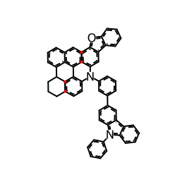 c1ccc(-n2c3ccccc3c3cc(-c4cccc(N(c5ccc6oc7ccccc7c6c5)c5ccccc5-c5cccc6cccc(C7CCCCC7)c56)c4)ccc32)cc1